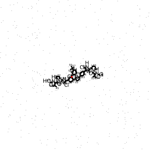 COC(=O)N[C@H](C(=O)N1CCC[C@H]1c1nc(-c2ccc([C@H]3CC[C@H](c4ccc(-c5nc([C@@H]6CCCN6C(=O)[C@@H](NC(=O)O)C(C)C)[nH]c5Cl)cc4)N3c3ccc(C(C)(C)C)cc3Cl)cc2)c(Cl)[nH]1)C(C)C